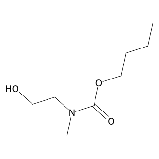 CCCCOC(=O)N(C)CCO